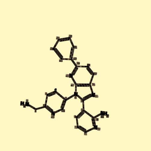 NCc1ccc(-n2c(-c3cccnc3N)nc3ccc(-c4ccccc4)nc32)cn1